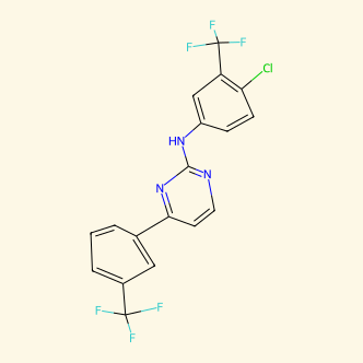 FC(F)(F)c1cccc(-c2ccnc(Nc3ccc(Cl)c(C(F)(F)F)c3)n2)c1